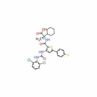 C[C@@](NC(=O)c1sc(-c2ccc(F)cc2)cc1NC(=O)Nc1c(Cl)cccc1Cl)(C(=O)O)C1CCCCC1